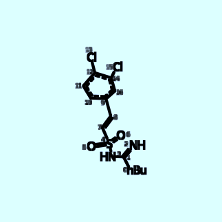 CCCCC(=N)NS(=O)(=O)/C=C/c1ccc(Cl)c(Cl)c1